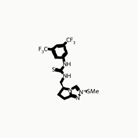 CS[n+]1cn2c(n1)CC[C@H]2CNC(=S)Nc1cc(C(F)(F)F)cc(C(F)(F)F)c1